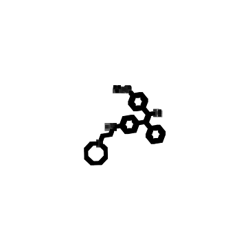 CC/C(=C(\c1ccccc1)c1ccc(NCCN2CCCCCCC2)cc1)c1ccc(OC)cc1